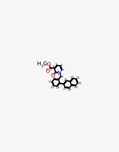 COC(=O)c1cccn(Cc2ccccc2-c2ccc3ccccc3c2)c1=O